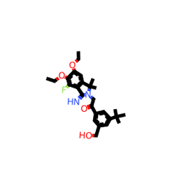 CCOc1cc2c(c(F)c1OCC)C(=N)N(CC(=O)c1cc(CO)cc(C(C)(C)C)c1)C2(C)C